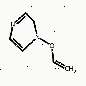 C=CON1C=CN=CC1